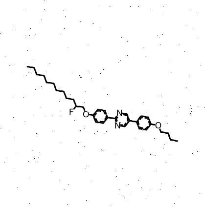 CCCCCCCCCCC(F)COc1ccc(-c2ncc(-c3ccc(OCCCC)cc3)cn2)cc1